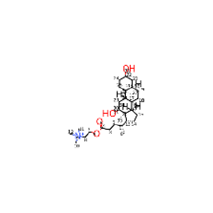 C[C@H](CCC(=O)OCC[N+](C)(C)C)[C@H]1CC[C@H]2[C@@H]3CC[C@@H]4C[C@H](O)CC[C@]4(C)[C@H]3C[C@H](O)[C@]12C